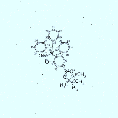 CC1(C)OB(c2ccc3c(c2)oc(=O)n3C(c2ccccc2)(c2ccccc2)c2ccccc2)OC1(C)C